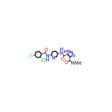 CNC(=O)c1nc[nH]c1C(=O)Nc1ccc(NC(=O)c2ccc(F)cc2Cl)nc1